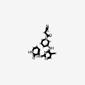 Cc1cnc(Nc2ccc[nH]c2=O)nc1N[C@@H]1CCCN(C(=O)CC#N)C1